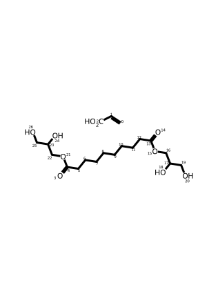 C=CC(=O)O.O=C(CCCCCCCCC(=O)OCC(O)CO)OCC(O)CO